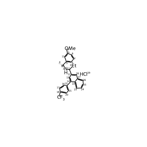 CCC(N[C@H](C)c1cccc(OC)c1)c1cc(-c2ccc(C(F)(F)F)cc2)c2ccccc2c1.Cl